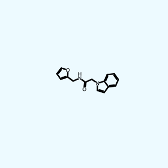 O=C(Cn1ccc2ccccc21)NCc1ccco1